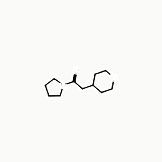 O=C(CC1CCOCC1)N1CCCC1